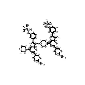 Cc1c(-c2cccc(CNS(C)(=O)=O)c2)sc2c(N3CCOCC3)nc(-c3cnc(N)nc3)nc12.Cc1c(-c2cccc(NS(C)(=O)=O)c2)sc2c(N3CCOCC3)nc(-c3cnc(N)nc3)nc12